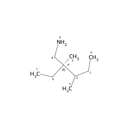 CCC(C)[C@@](C)(CC)CN